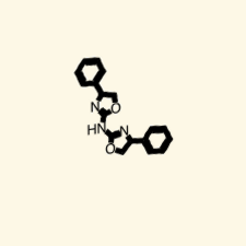 c1ccc(C2COC(NC3=NC(c4ccccc4)CO3)=N2)cc1